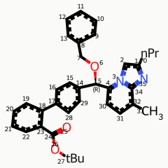 CCCc1cn2c([C@H](OCc3ccccc3)c3ccc(-c4ccccc4C(=O)OC(C)(C)C)cc3)ccc(C)c2n1